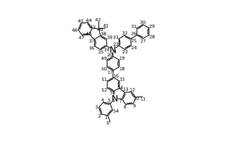 Cc1cccc(-n2c3ccc(C)cc3c3cc(-c4ccc(N(c5ccc(-c6ccccc6)cc5)c5ccc6c(c5)C(C)(C)c5ccccc5-6)cc4)ccc32)c1